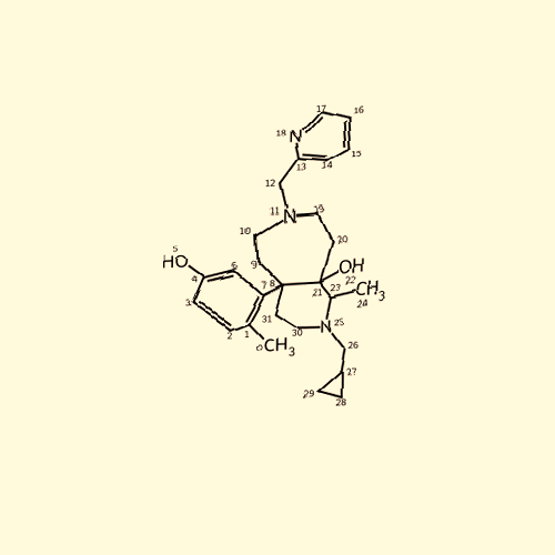 Cc1ccc(O)cc1C12CCN(Cc3ccccn3)CCC1(O)C(C)N(CC1CC1)CC2